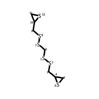 C(SSCC1CS1)SSCC1CS1